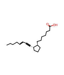 CCCCC=CC#C[C@H]1CCC[C@@H]1CCCCCCC(=O)O